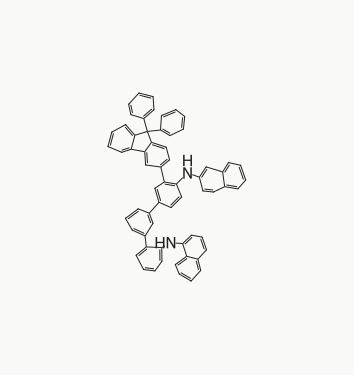 c1ccc(C2(c3ccccc3)c3ccccc3-c3cc(-c4cc(-c5cccc(-c6ccccc6Nc6cccc7ccccc67)c5)ccc4Nc4ccc5ccccc5c4)ccc32)cc1